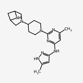 Cc1cc(Nc2cc(C)[nH]n2)nc(N2CCC(N3CC4CC(C3)N4)CC2)n1